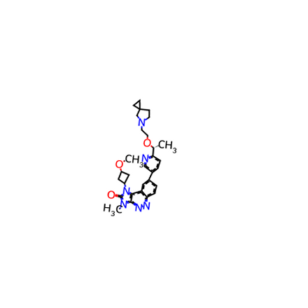 CO[C@H]1C[C@@H](n2c(=O)n(C)c3nnc4ccc(-c5ccc([C@@H](C)OCCN6CCC7(CC7)C6)nc5)cc4c32)C1